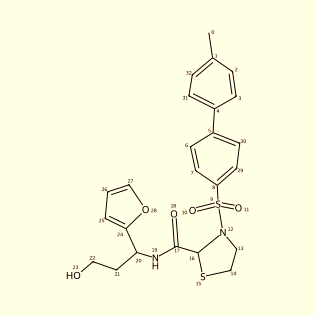 Cc1ccc(-c2ccc(S(=O)(=O)N3CCSC3C(=O)NC(CCO)c3ccco3)cc2)cc1